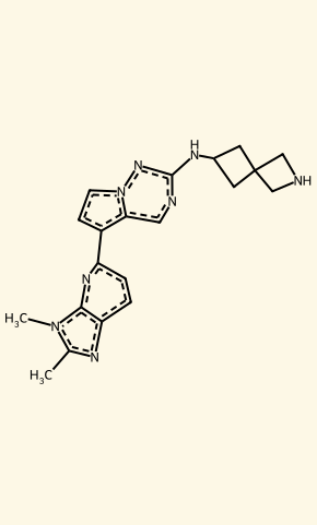 Cc1nc2ccc(-c3ccn4nc(NC5CC6(CNC6)C5)ncc34)nc2n1C